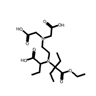 CCOC(=O)C(CC)(CC)N(CCN(CC(=O)O)CC(=O)O)C(CC)C(=O)O